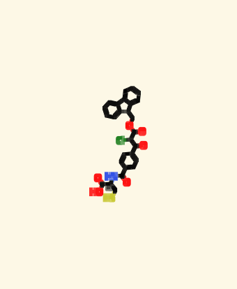 O=C(N[C@@H](CS)C(=O)O)c1ccc(C(=O)C(Cl)C(=O)OCC2c3ccccc3-c3ccccc32)cc1